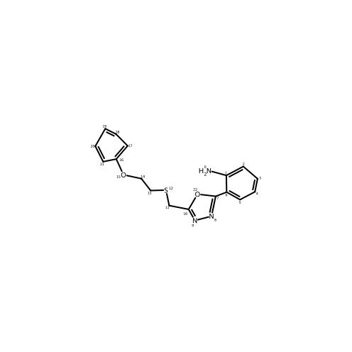 Nc1ccccc1-c1nnc(CSCCOc2ccccc2)o1